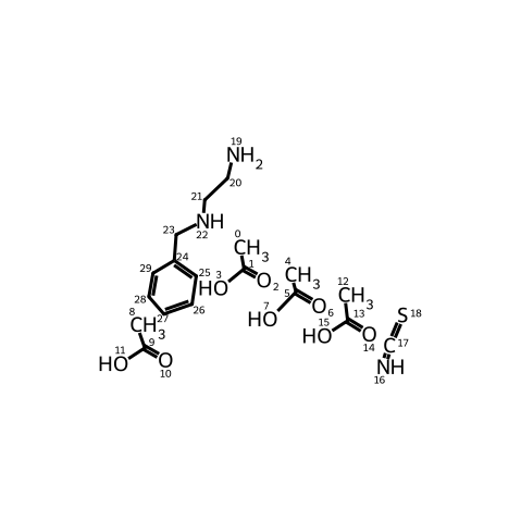 CC(=O)O.CC(=O)O.CC(=O)O.CC(=O)O.N=C=S.NCCNCc1ccccc1